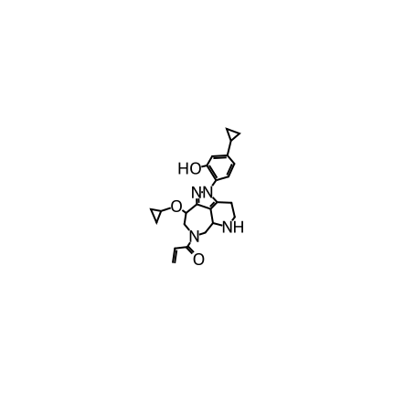 C=CC(=O)N1CC2NCCc3c2c(nn3-c2ccc(C3CC3)cc2O)C(OC2CC2)C1